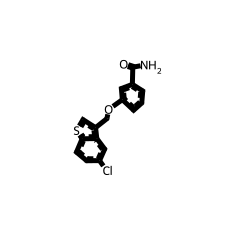 NC(=O)c1cccc(OCc2csc3ccc(Cl)cc23)c1